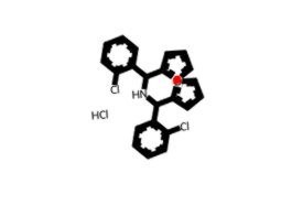 Cl.Clc1ccccc1C(NC(c1ccco1)c1ccccc1Cl)c1ccco1